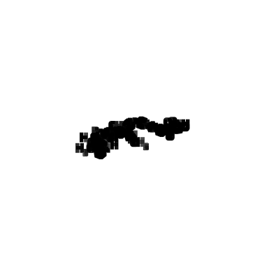 COc1cc(N2CCN(CC3CCN(C4CN(c5ccc6c(c5)C(=O)N(C5CCC(=O)NC5=O)C6=O)C4)CC3)CC2)c(-c2cnn(C)c2)cc1Nc1ncc(Br)c(Nc2cnc3ccccc3c2P(=O)(OC)OC)n1